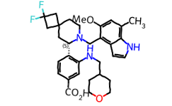 COc1cc(C)c2[nH]ccc2c1CN1CCC2(C[C@H]1c1ccc(C(=O)O)cc1NCC1CCOCC1)CC(F)(F)C2